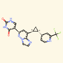 O=c1[nH]cc(-c2cc([C@H]3C[C@@H]3c3ccnc(C(F)(F)F)c3)c3nccn3n2)c(=O)[nH]1